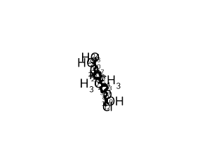 CC(C)(c1ccc(OC[C@H](O)CCl)cc1)c1ccc(OC[C@@H](O)CO)c(I)c1